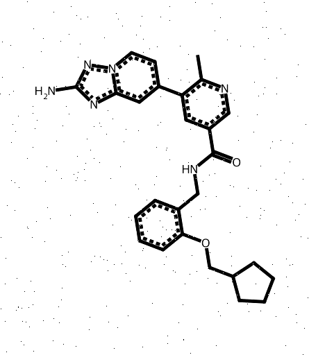 Cc1ncc(C(=O)NCc2ccccc2OCC2CCCC2)cc1-c1ccn2nc(N)nc2c1